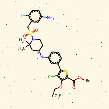 CCOC(=O)COc1c(C(=O)OC(C)(C)C)sc(-c2cccc(N[C@@H]3CCN(S(=O)(=O)Cc4cc(N)ccc4F)C(C)(C)C3)c2)c1Cl